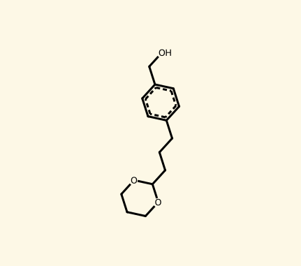 OCc1ccc(CCCC2OCCCO2)cc1